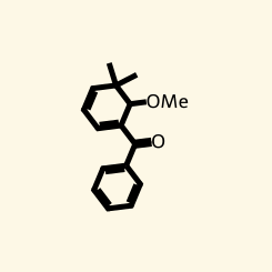 COC1C(C(=O)c2ccccc2)=CC=CC1(C)C